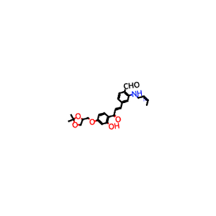 C/C=C\CNc1cc(C=CC(=O)c2ccc(OCC3COC(C)(C)O3)cc2O)ccc1C=O